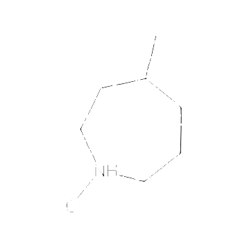 [CH2-][NH+]1CCCC(C)CC1